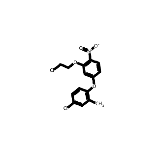 Cc1cc(Cl)ccc1Oc1ccc([N+](=O)[O-])c(OCCCl)c1